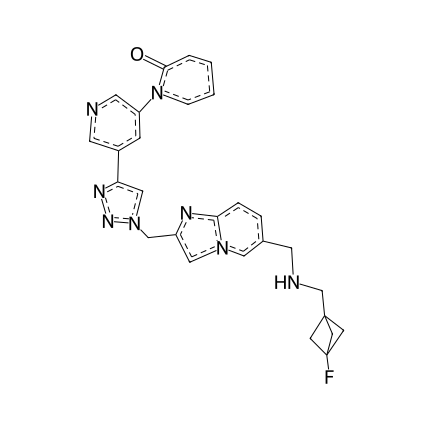 O=c1ccccn1-c1cncc(-c2cn(Cc3cn4cc(CNCC56CC(F)(C5)C6)ccc4n3)nn2)c1